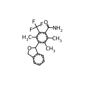 Cc1c(C)c(C2OCc3ccccc32)c(C)c(C(F)(F)F)c1C(N)=O